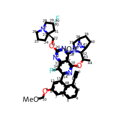 C#Cc1cccc2cc(OCOC)cc(-c3nc4c5c(nc(OC[C@@]67CCCN6C[C@H](F)C7)nc5c3F)N3CC5CCC(C3C(C)O4)N5C(=O)O)c12